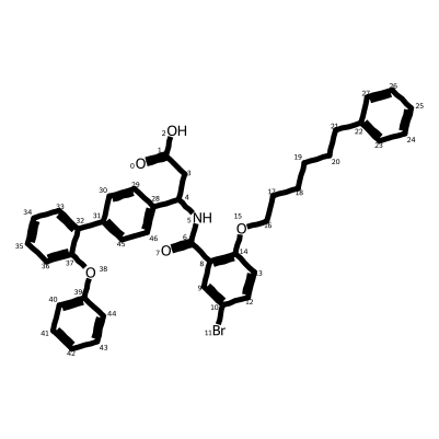 O=C(O)CC(NC(=O)c1cc(Br)ccc1OCCCCCCc1ccccc1)c1ccc(-c2ccccc2Oc2ccccc2)cc1